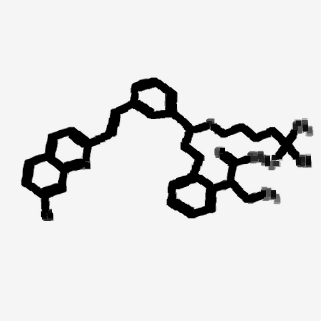 CCC(C(=O)O)c1ccccc1CCC(SCCCCC(C)(C)O)c1cccc(/C=C/c2ccc3ccc(Cl)cc3n2)c1